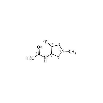 CC(=O)NC1CN(C)CC1F